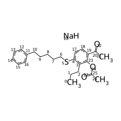 CCCc1c(SCCCCCc2ccccc2)ccc(C(C)=O)c1OC(C)=O.[NaH]